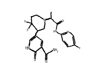 CC(C(=O)Nc1ccc(F)cn1)N1CCC(F)(F)C(c2c[nH]c(=O)c(C(N)=O)c2)C1